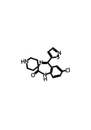 O=C1Nc2ccc(Cl)cc2C(c2ccns2)=NC12CCNCC2